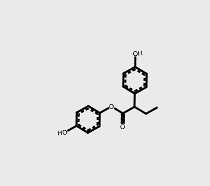 CCC(C(=O)Oc1ccc(O)cc1)c1ccc(O)cc1